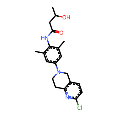 Cc1cc(N2CCc3nc(Cl)ccc3C2)cc(C)c1NC(=O)CC(C)O